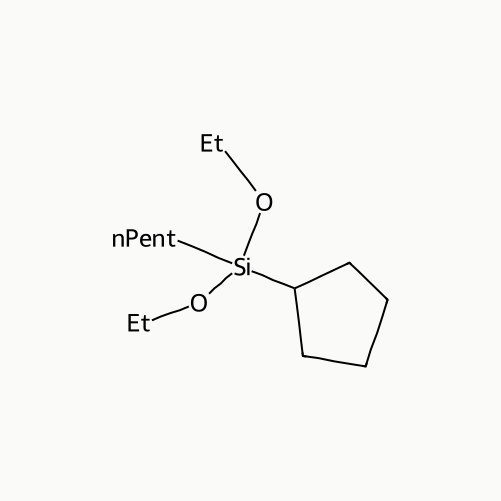 CCCCC[Si](OCC)(OCC)C1CCCC1